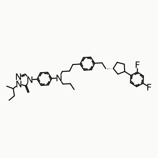 C=C1N(c2ccc(N(CCC)CCCc3ccc(CC[C@@H]4CCC(c5ccc(F)cc5F)C4)cc3)cc2)C=NN1C(C)CC